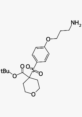 CC(C)(C)OC(=O)C1(S(=O)(=O)c2ccc(OCCCN)cc2)CCOCC1